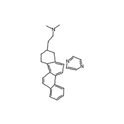 CN(C)CCC1CCc2c(ccc3c2ccc2ccccc23)C1.c1cnccn1